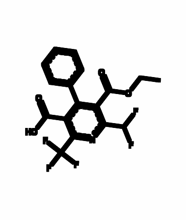 CCOC(=O)c1c(C(F)F)nc(C(F)(F)F)c(C(=O)O)c1-c1ccccc1